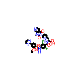 CCOc1cc(-c2ncccn2)ccc1S(=O)(=O)Nc1cc(F)c(C(=O)N[C@@H](Cc2ccc(-n3c(=O)c4ccncc4n(C)c3=O)cn2)C(=O)O)c(F)c1